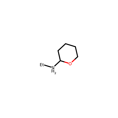 CC[SiH2]C1CCCCO1